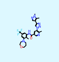 Cc1ncc(C(=O)Nc2cc(C(F)(F)F)cc(N3CCCOCC3)c2C)cc1-n1cc(-c2cnn(C)c2C)nn1